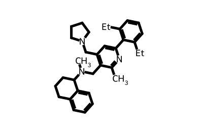 CCc1cccc(CC)c1-c1cc(CN2CCCC2)c(CN(C)C2CCCc3ccccc32)c(C)n1